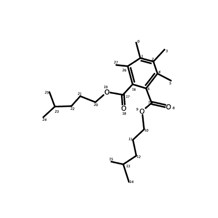 Cc1c(C)c(C)c(C(=O)OCCCC(C)C)c(C(=O)OCCCC(C)C)c1C